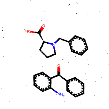 Nc1ccccc1C(=O)c1ccccc1.O=C(O)[C@@H]1CCCN1Cc1ccccc1